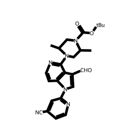 CC1CN(c2nccc3c2c(C=O)cn3-c2cc(C#N)ccn2)C(C)CN1C(=O)OC(C)(C)C